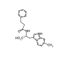 Cc1ccc2c(CC(NC(=O)CCc3ccccc3)C(=O)O)c[nH]c2c1